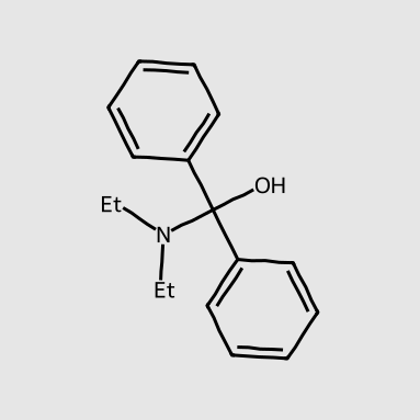 CCN(CC)C(O)(c1ccccc1)c1ccccc1